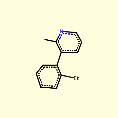 CCc1ccccc1-c1cccnc1C